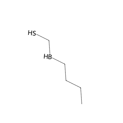 CCCCBCS